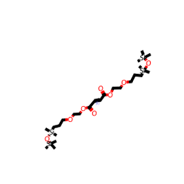 C[Si](C)(C)O[Si](C)(C)CCCOCCOC(=O)/C=C/C(=O)OCCOCCC[Si](C)(C)O[Si](C)(C)C